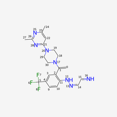 C=C(c1cc(C(F)(F)F)ccc1N/N=C\C=N)N1CCN(c2cc(C)nc(C)n2)CC1